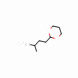 CC(=O)NC(C)CCC1OCCCO1